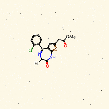 CCC1N=C(c2ccccc2Cl)c2cc(CC(=O)OC)sc2NC1=O